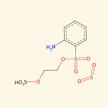 Nc1ccccc1S(=O)(=O)OCCOS(=O)(=O)O.O=S=O